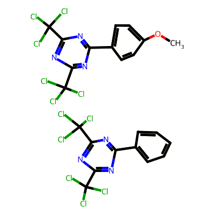 COc1ccc(-c2nc(C(Cl)(Cl)Cl)nc(C(Cl)(Cl)Cl)n2)cc1.ClC(Cl)(Cl)c1nc(-c2ccccc2)nc(C(Cl)(Cl)Cl)n1